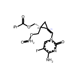 CC(C)C(=O)OC[C@]1(CO[PH2]=O)C/C1=C/n1cc(F)c(N)nc1=O